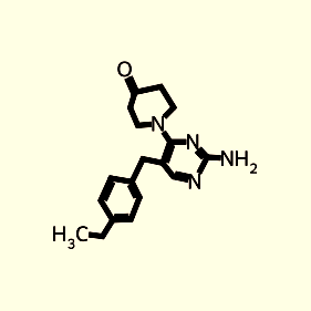 CCc1ccc(Cc2cnc(N)nc2N2CCC(=O)CC2)cc1